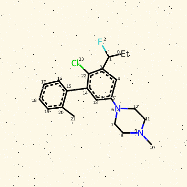 CCC(F)c1cc(N2CCN(C)CC2)cc(-c2ccccc2C)c1Cl